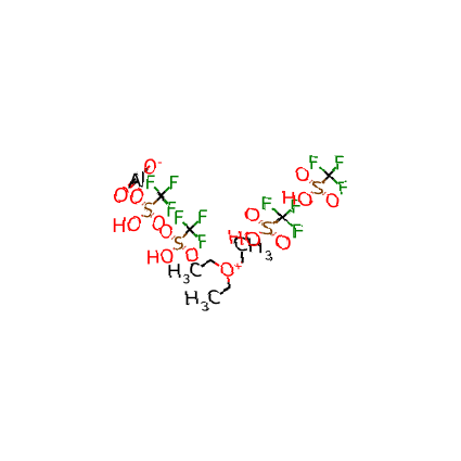 CC[O+](CC)CC.O=S(=O)(O)C(F)(F)F.O=S(=O)(O)C(F)(F)F.O=S(=O)(O)C(F)(F)F.O=S(=O)(O)C(F)(F)F.[O]=[Al][O-]